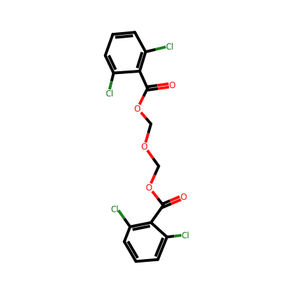 O=C(OCOCOC(=O)c1c(Cl)cccc1Cl)c1c(Cl)cccc1Cl